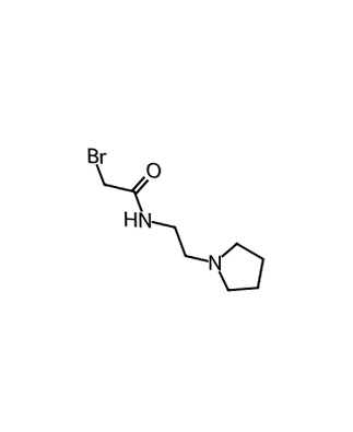 O=C(CBr)NCCN1CCCC1